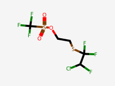 O=S(=O)(OCCSC(F)(F)C(F)Cl)C(F)(F)F